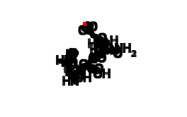 CC[C@H](C)[C@H](NC(=O)[C@H]1CCCCN1C)C(=O)N(C)[C@H](C[C@@H](OC(=O)NC)c1nc(C(=O)N[C@@H](Cc2ccc(NC(=O)[C@H](CCCNC(N)=O)NC(=O)[C@@H](NC(=O)CCCCCN3C(=O)C=CC3=O)C(C)C)cc2)CC(C)C(=O)O)cs1)C(C)C